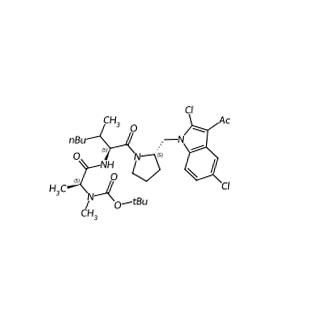 CCCCC(C)[C@H](NC(=O)[C@H](C)N(C)C(=O)OC(C)(C)C)C(=O)N1CCC[C@H]1Cn1c(Cl)c(C(C)=O)c2cc(Cl)ccc21